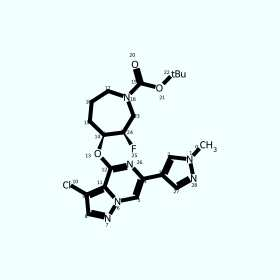 Cn1cc(-c2cn3ncc(Cl)c3c(O[C@H]3CCCN(C(=O)OC(C)(C)C)C[C@H]3F)n2)cn1